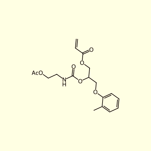 C=CC(=O)OCC(COc1ccccc1C)OC(=O)NCCOC(C)=O